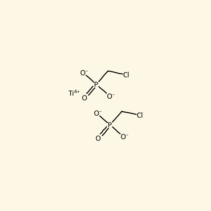 O=P([O-])([O-])CCl.O=P([O-])([O-])CCl.[Ti+4]